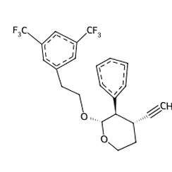 C#C[C@@H]1CCO[C@H](OCCc2cc(C(F)(F)F)cc(C(F)(F)F)c2)[C@H]1c1ccccc1